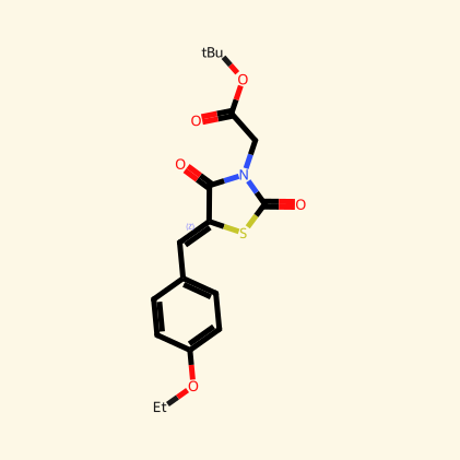 CCOc1ccc(/C=C2\SC(=O)N(CC(=O)OC(C)(C)C)C2=O)cc1